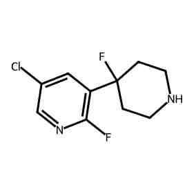 Fc1ncc(Cl)cc1C1(F)CCNCC1